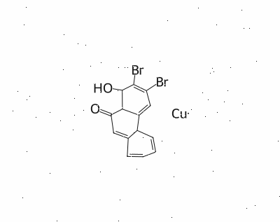 O=C1C=C2C=CC=CC2C2=CC(Br)=C(Br)C(O)C12.[Cu]